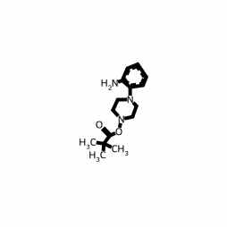 CC(C)(C)C(=O)ON1CCN(c2ccccc2N)CC1